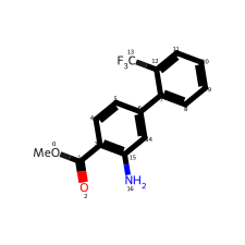 COC(=O)c1ccc(-c2ccccc2C(F)(F)F)cc1N